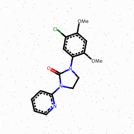 COc1cc(OC)c(N2CCN(c3ccccn3)C2=O)cc1Cl